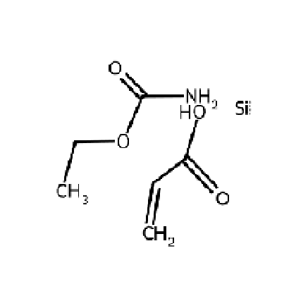 C=CC(=O)O.CCOC(N)=O.[Si]